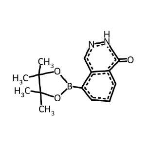 CC1(C)OB(c2cccc3c(=O)[nH]ncc23)OC1(C)C